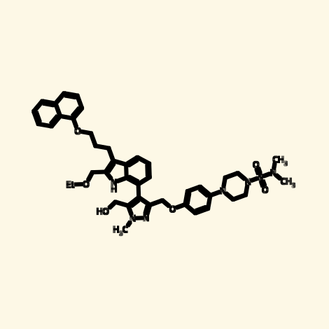 CCOCc1[nH]c2c(-c3c(COc4ccc(N5CCN(S(=O)(=O)N(C)C)CC5)cc4)nn(C)c3CO)cccc2c1CCCOc1cccc2ccccc12